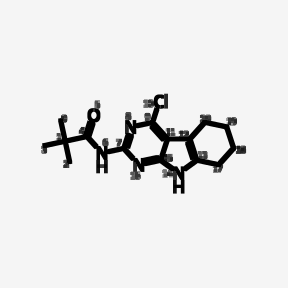 CC(C)(C)C(=O)Nc1nc(Cl)c2c3c([nH]c2n1)CCCC3